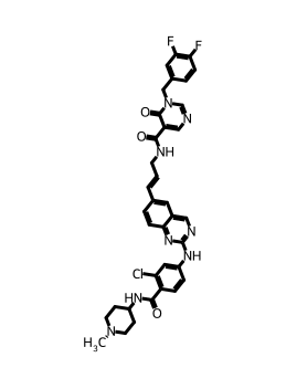 CN1CCC(NC(=O)c2ccc(Nc3ncc4cc(C=CCNC(=O)c5cncn(Cc6ccc(F)c(F)c6)c5=O)ccc4n3)cc2Cl)CC1